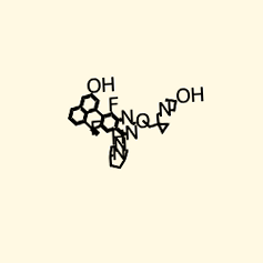 C#Cc1cccc2cc(O)cc(-c3c(F)cc4c(N5CC6CCC(C5)N6)nc(OCC5(CN6CC(O)C6)CC5)nc4c3F)c12